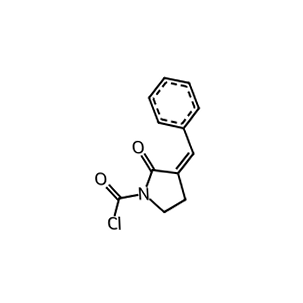 O=C(Cl)N1CCC(=Cc2ccccc2)C1=O